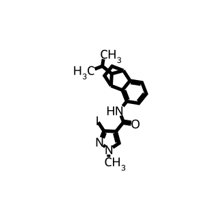 CC(C)C1C2CCC1c1c(NC(=O)c3cn(C)nc3I)cccc12